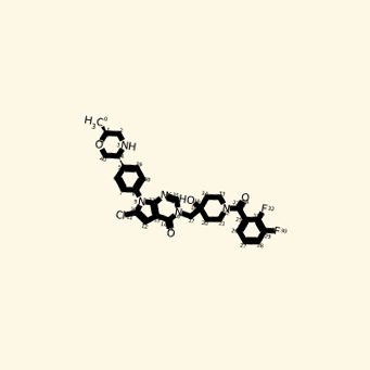 C[C@H]1CN[C@H](c2ccc(-n3c(Cl)cc4c(=O)n(CC5(O)CCN(C(=O)c6cccc(F)c6F)CC5)cnc43)cc2)CO1